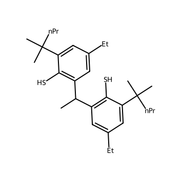 CCCC(C)(C)c1cc(CC)cc(C(C)c2cc(CC)cc(C(C)(C)CCC)c2S)c1S